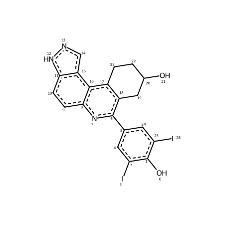 Oc1c(I)cc(-c2nc3ccc4[nH]ncc4c3c3c2CC(O)CC3)cc1I